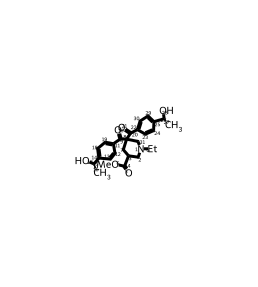 CCN1CC(C(=O)OC)CC(C(=O)c2ccc([C@@H](C)O)cc2)(C(=O)c2ccc([C@@H](C)O)cc2)C1